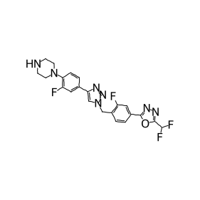 Fc1cc(-c2nnc(C(F)F)o2)ccc1Cn1cc(-c2ccc(N3CCNCC3)c(F)c2)nn1